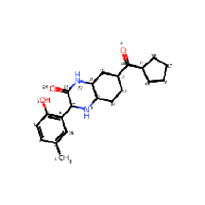 Cc1ccc(O)c(C2NC3CCC(C(=O)C4CCCC4)CC3NC2=O)c1